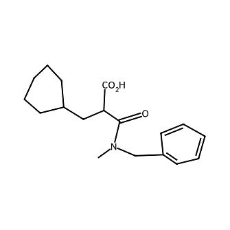 CN(Cc1ccccc1)C(=O)C(CC1CCCCC1)C(=O)O